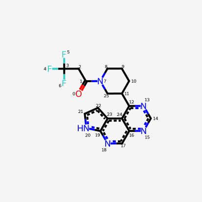 O=C(CC(F)(F)F)N1CCCC(c2ncnc3cnc4[nH]ccc4c23)C1